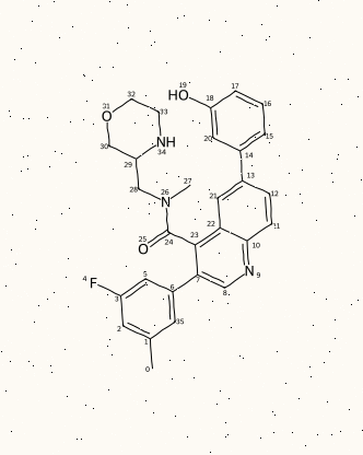 Cc1cc(F)cc(-c2cnc3ccc(-c4cccc(O)c4)cc3c2C(=O)N(C)CC2COCCN2)c1